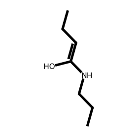 CC/C=C(\O)NCCC